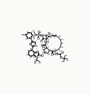 Cc1cccc(-c2csc(-c3cccc4c3nc(O[C@@H]3C[C@H]5C(=O)N[C@]6(C(=O)NS(=O)(=O)N(C)C)C[C@H]6/C=C\CCCCC[C@H](NC(=O)OC(C)(C)C)C(=O)N5C3)n4C(C)C)n2)c1